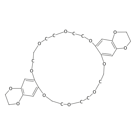 c1c2c(cc3c1OCCO3)OCCOCCOCCOc1cc3c(cc1OCCOCCOCCO2)OCCO3